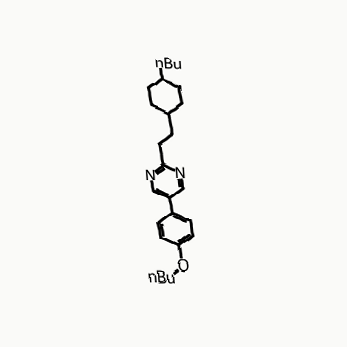 CCCCOc1ccc(-c2cnc(CCC3CCC(CCCC)CC3)nc2)cc1